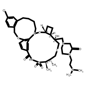 C[C@@H]1[C@@H](C)CCC[C@](O)(CN2CCN(CCN(C)C)C(=O)C2)[C@@H]2CC[C@H]2CN2CCCCc3cc(Cl)ccc3COc3ccc(cc32)C(=O)NS1(=O)=O